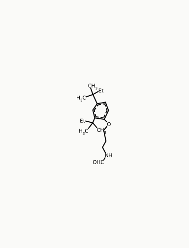 CCC(C)(C)c1ccc(OCCCN[C]=O)c(C(C)(C)CC)c1